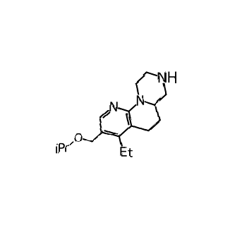 CCc1c(COC(C)C)cnc2c1CCC1CNCCN21